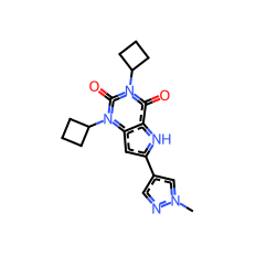 Cn1cc(-c2cc3c([nH]2)c(=O)n(C2CCC2)c(=O)n3C2CCC2)cn1